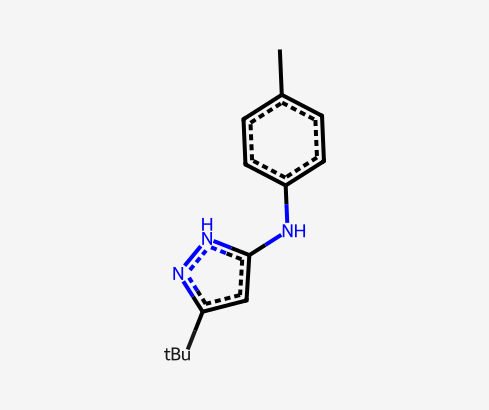 Cc1ccc(Nc2cc(C(C)(C)C)n[nH]2)cc1